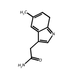 CC1=CCC2=NC=C(CC(N)=O)C2=C1